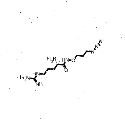 [N-]=[N+]=NCCCONC(=O)[C@@H](N)CCCNC(=N)N